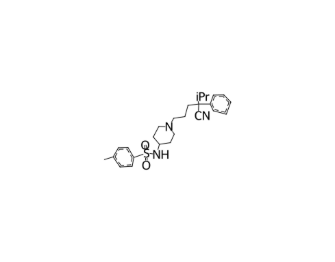 Cc1ccc(S(=O)(=O)NC2CCN(CCCC(C#N)(c3ccccc3)C(C)C)CC2)cc1